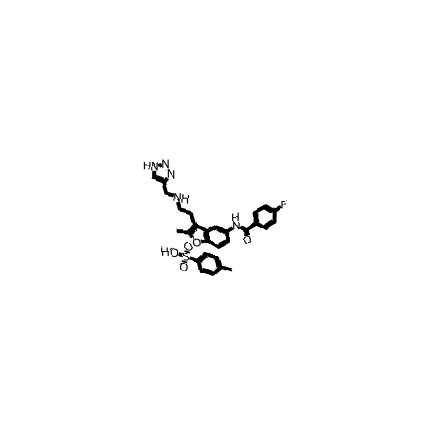 Cc1ccc(S(=O)(=O)O)cc1.Cc1oc2ccc(NC(=O)c3ccc(F)cc3)cc2c1CCNCc1c[nH]nn1